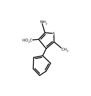 Cc1sc(N)c(C(=O)O)c1-c1ccccc1